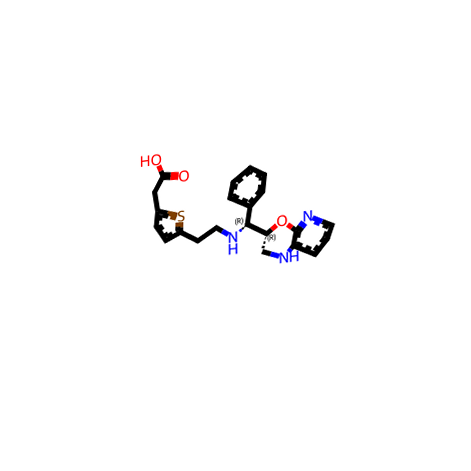 O=C(O)Cc1ccc(CCN[C@H](c2ccccc2)[C@H]2CNc3cccnc3O2)s1